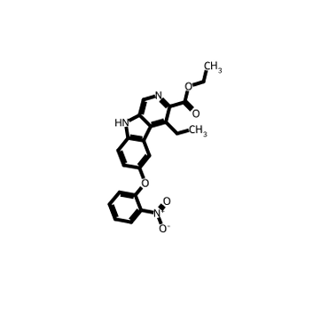 CCOC(=O)c1ncc2[nH]c3ccc(Oc4ccccc4[N+](=O)[O-])cc3c2c1CC